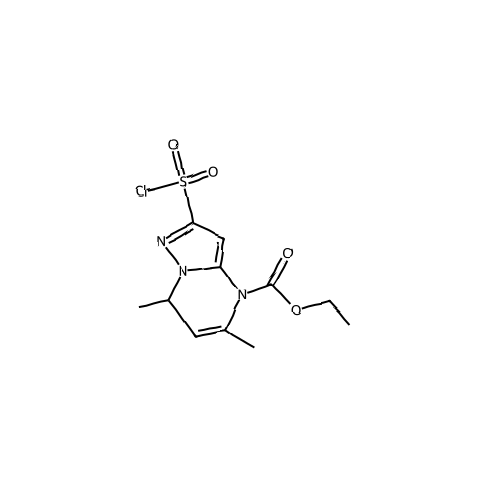 CCOC(=O)N1C(C)=CC(C)n2nc(S(=O)(=O)Cl)cc21